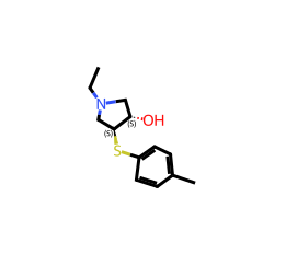 CCN1C[C@H](Sc2ccc(C)cc2)[C@@H](O)C1